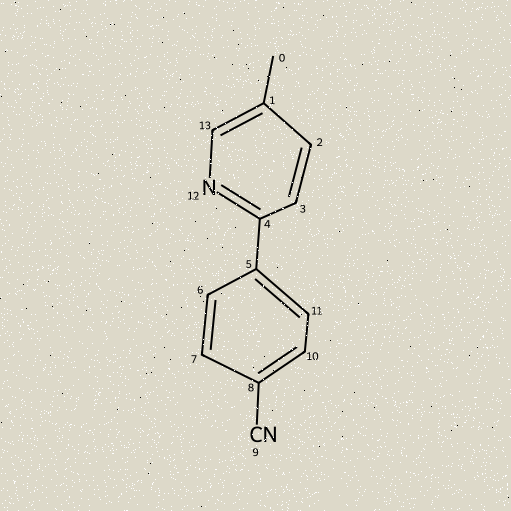 Cc1ccc(-c2ccc(C#N)cc2)nc1